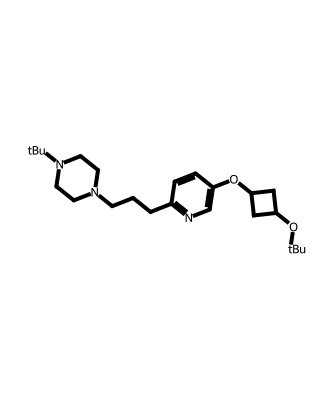 CC(C)(C)OC1CC(Oc2ccc(CCCN3CCN(C(C)(C)C)CC3)nc2)C1